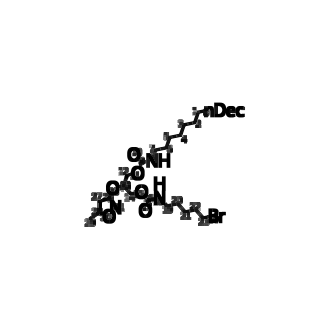 CCCCCCCCCCCCCCCCCNC(=O)OC[C@@H](COC(=O)NCCCCCBr)Oc1cc(C)on1